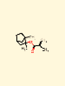 C=C(C)C(=O)OC1(C)CC2CCC1(C)C2